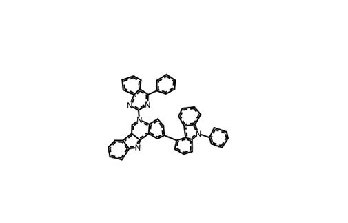 c1ccc(-c2nc(-n3cc4c5ccccc5nc-4c4cc(-c5cccc6c5c5ccccc5n6-c5ccccc5)ccc43)nc3ccccc23)cc1